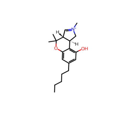 CCCCCc1cc(O)c2c(c1)OC(C)(C)[C@@H]1C=[N+](C)C[C@@H]21